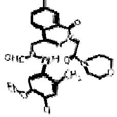 CCOc1cc(NN(C=O)Cc2nn(CC(=O)N3CCOCC3)c(=O)c3ccccc23)c(C)cc1Cl